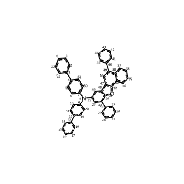 c1ccc(-c2ccc(N(c3ccc(-c4ccccc4)cc3)c3cc(-c4ccccc4)c4oc5c6ccccc6c(-c6ccccc6)cc5c4c3)cc2)cc1